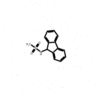 CS(=O)(=O)NC1c2ccccc2-c2ccccc21